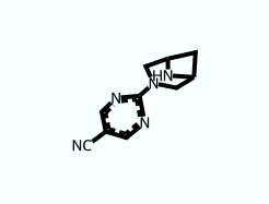 N#Cc1cnc(N2CC3CC(C2)N3)nc1